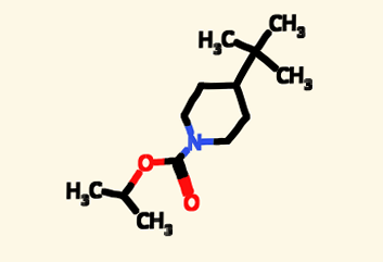 CC(C)OC(=O)N1CCC(C(C)(C)C)CC1